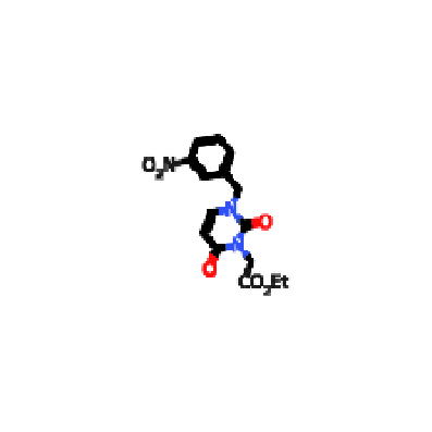 CCOC(=O)Cn1c(=O)ccn(Cc2cccc([N+](=O)[O-])c2)c1=O